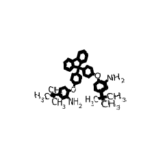 CC(C)(C)c1ccc(Oc2ccc(C3(c4ccc(Oc5ccc(C(C)(C)C)cc5N)cc4)c4ccccc4-c4ccccc43)cc2)c(N)c1